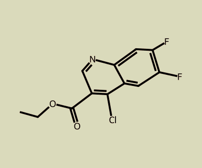 CCOC(=O)c1cnc2cc(F)c(F)cc2c1Cl